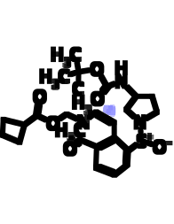 CN(/C=C\c1c(C=O)cccc1[S+]([O-])N1CCC(NC(=O)OC(C)(C)C)C1)COC(=O)C1CCC1